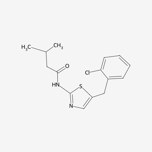 CC(C)CC(=O)Nc1ncc(Cc2ccccc2Cl)s1